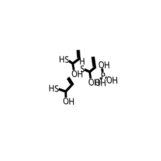 C=CC(O)S.C=CC(O)S.C=CC(O)S.OP(O)O